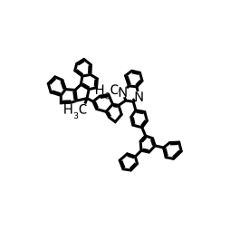 CN1c2ccccc2N=C(c2ccc(-c3cc(-c4ccccc4)cc(-c4ccccc4)c3)cc2)C1C1=c2ccc(C3(C)c4ccc5ccccc5c4-c4c3ccc3ccccc43)cc2=CCC1